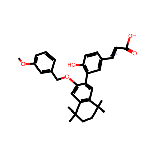 COc1cccc(COc2cc3c(cc2-c2cc(/C=C/C(=O)O)ccc2O)C(C)(C)CCC3(C)C)c1